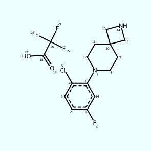 Fc1ccc(Cl)c(N2CCC3(CC2)CNC3)c1.O=C(O)C(F)(F)F